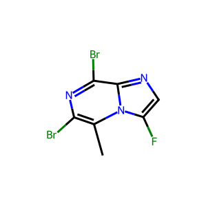 Cc1c(Br)nc(Br)c2ncc(F)n12